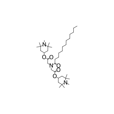 CCCCCCCCCCCCC(=O)N(CC(=O)OC1CC(C)(C)N(C)C(C)(C)C1)CC(=O)OC1CC(C)(C)N(C)C(C)(C)C1